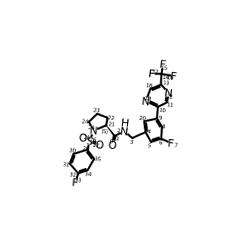 O=C(NCc1cc(F)cc(-c2cnc(C(F)(F)F)cn2)c1)[C@@H]1CCCN1S(=O)(=O)c1ccc(F)cc1